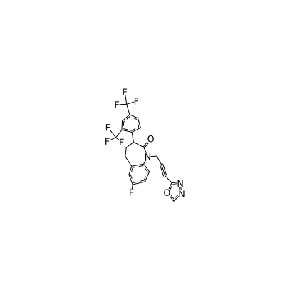 O=C1C(c2ccc(C(F)(F)F)cc2C(F)(F)F)CCc2cc(F)ccc2N1CC#Cc1nnco1